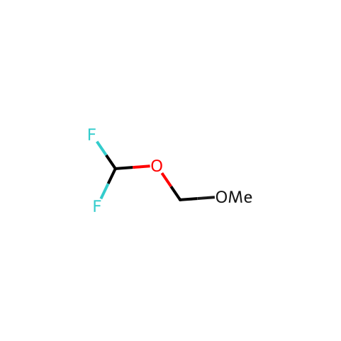 [CH2]OCOC(F)F